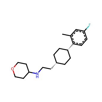 Cc1cc(F)ccc1[C@H]1CC[C@@H](CCNC2CCOCC2)CC1